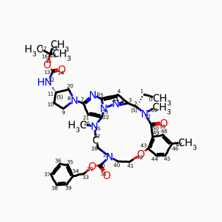 CC[C@H]1c2cc3nc(N4CC[C@H](NC(=O)OC(C)(C)C)C4)cc(n3n2)N(C)CCN(C(=O)OCc2ccccc2)CCOc2ccc(C)cc2C(=O)N1C